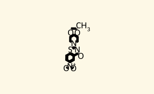 CC1COC2(CCN(c3nc(=O)c4cc([N+](=O)[O-])ccc4s3)CC2)O1